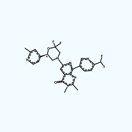 Cc1cc([C@@H]2CN(c3cc4c(=O)n(C)c(C)nc4c(-c4ccc(C(F)F)nc4)n3)CC(F)(F)O2)ccn1